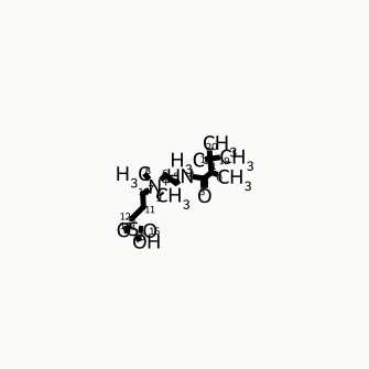 CC(C(=O)NCC[N+](C)(C)CCCS(=O)(=O)O)C(C)(C)C